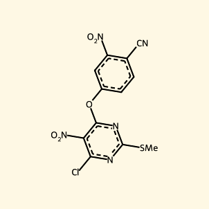 CSc1nc(Cl)c([N+](=O)[O-])c(Oc2ccc(C#N)c([N+](=O)[O-])c2)n1